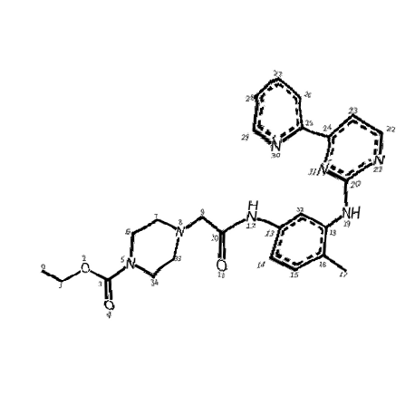 CCOC(=O)N1CCN(CC(=O)Nc2ccc(C)c(Nc3nccc(-c4ccccn4)n3)c2)CC1